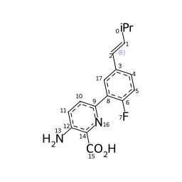 CC(C)/C=C/c1ccc(F)c(-c2ccc(N)c(C(=O)O)n2)c1